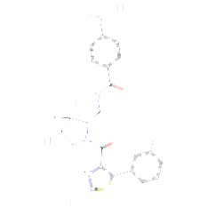 Cc1cccc(-c2sc(C)nc2C(=O)N2C[C@H]3C[C@H]3[C@H]2CNC(=O)c2ccc(N(C)C)cc2)c1